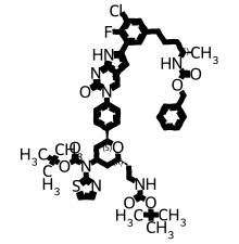 C[C@@H](CCCc1cc(Cl)c(F)c(-c2cc3cn(-c4ccc([C@@H]5CC(N(C(=O)OC(C)(C)C)c6nccs6)C[C@@H](CCNC(=O)OC(C)(C)C)O5)cc4)c(=O)nc3[nH]2)c1)NC(=O)OCc1ccccc1